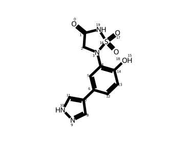 O=C1CN(c2cc(-c3cn[nH]c3)ccc2O)S(=O)(=O)N1